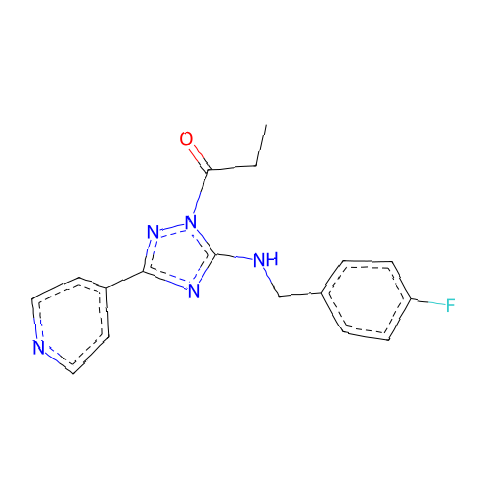 CCC(=O)n1nc(-c2ccncc2)nc1NCc1ccc(F)cc1